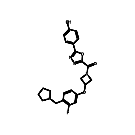 O=C(c1nnc(-c2ccc(O)cc2)o1)N1CC(Oc2ccc(CN3CCCC3)c(F)c2)C1